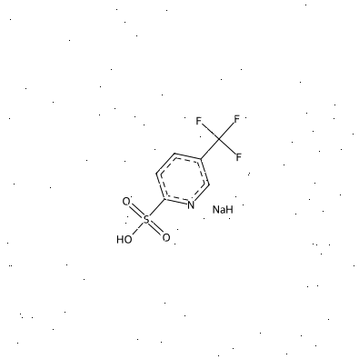 O=S(=O)(O)c1ccc(C(F)(F)F)cn1.[NaH]